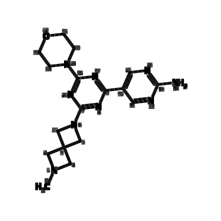 CN1CC2(C1)CN(c1nc(-c3cnc(N)nc3)nc(N3CCOCC3)n1)C2